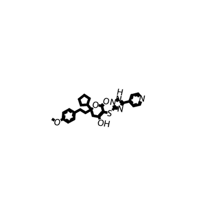 COc1ccc(CCC2(C3CCCC3)CC(O)=C(Sc3n[nH]c(-c4ccncc4)n3)C(=O)O2)cc1